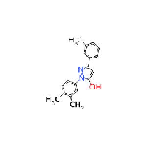 Cc1cccc(-c2cc(O)n(-c3ccc(C)c(C)c3)n2)c1